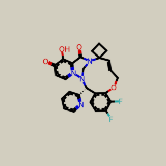 O=C1c2c(O)c(=O)ccn2N2CN1C1(/C=C/COc3c(ccc(F)c3F)[C@@H]2c2ccccn2)CCC1